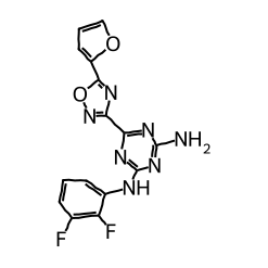 Nc1nc(Nc2cccc(F)c2F)nc(-c2noc(-c3ccco3)n2)n1